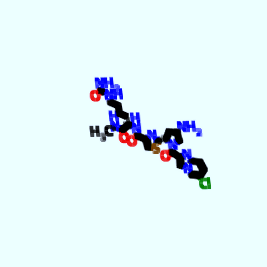 CNC(=O)[C@H](CCCCNC(N)=O)NC(=O)c1csc([C@@H]2C[C@@H](N)CN2C(=O)c2cn3cc(Cl)ccc3n2)n1